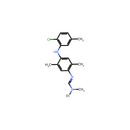 CCN(C)C=Nc1cc(C)c(Nc2cc(C)ccc2Cl)cc1C